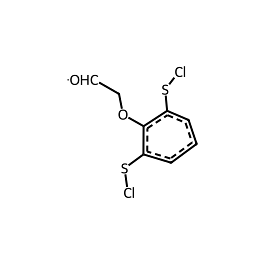 O=[C]COc1c(SCl)cccc1SCl